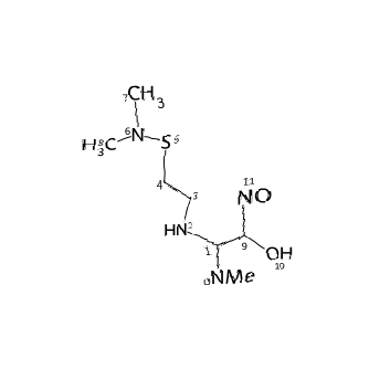 CNC(NCCSN(C)C)C(O)N=O